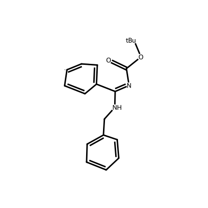 CC(C)(C)OC(=O)/N=C(/NCc1ccccc1)c1cc[c]cc1